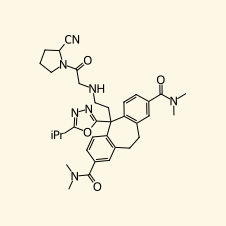 CC(C)c1nnc(C2(CCNCC(=O)N3CCCC3C#N)c3ccc(C(=O)N(C)C)cc3CCc3cc(C(=O)N(C)C)ccc32)o1